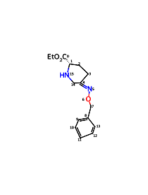 CCOC(=O)[C@@H]1CCC(=NOCc2ccccc2)CN1